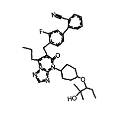 CCCc1c(Cc2ccc(-c3ccccc3C#N)cc2F)c(=O)n(C2CCC(OC(CC)C(C)(C)O)CC2)c2ncnn12